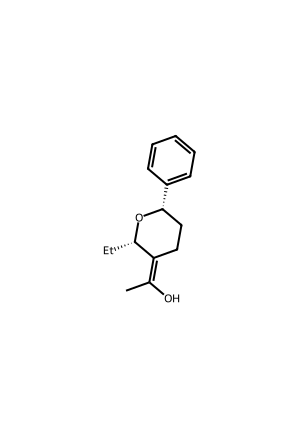 CC[C@@H]1O[C@H](c2ccccc2)CC/C1=C(/C)O